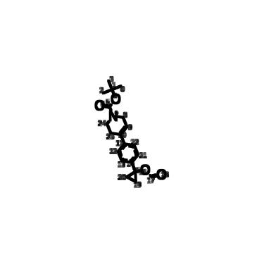 CC(C)(C)OC(=O)N1CC=C(c2ccc(C3(OC=O)CC3)cc2)CC1